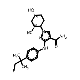 CC(C)(CF)c1ccc(Nc2nn(C3CC[C@@H](O)C[C@@H]3C#N)cc2C(N)=O)cc1